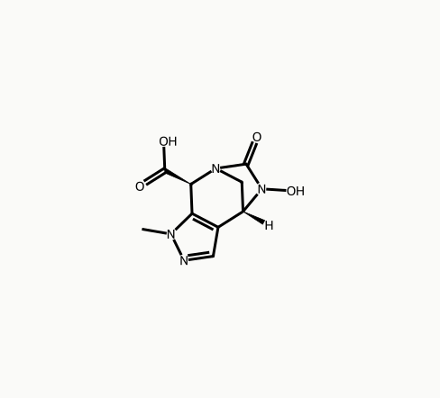 Cn1ncc2c1[C@@H](C(=O)O)N1C[C@@H]2N(O)C1=O